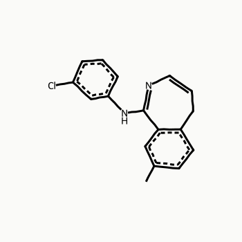 Cc1ccc2c(c1)C(Nc1cccc(Cl)c1)=NC=CC2